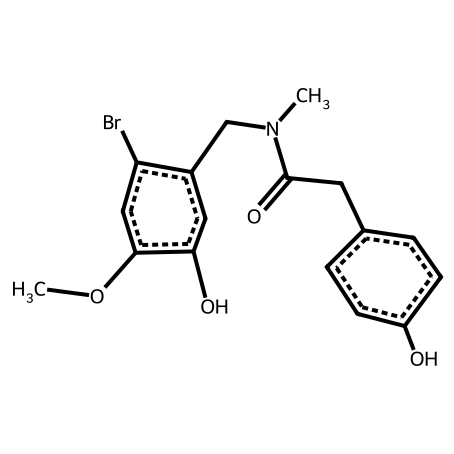 COc1cc(Br)c(CN(C)C(=O)Cc2ccc(O)cc2)cc1O